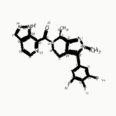 C[C@H]1c2nn(C)c(-c3cc(F)c(F)c(F)c3)c2CCN1C(=O)c1nccc2cn[nH]c12